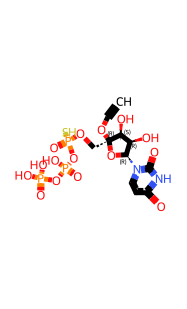 C#CO[C@]1(COP(=O)(S)OP(=O)(O)OP(=O)(O)O)O[C@@H](n2ccc(=O)[nH]c2=O)[C@H](O)[C@@H]1O